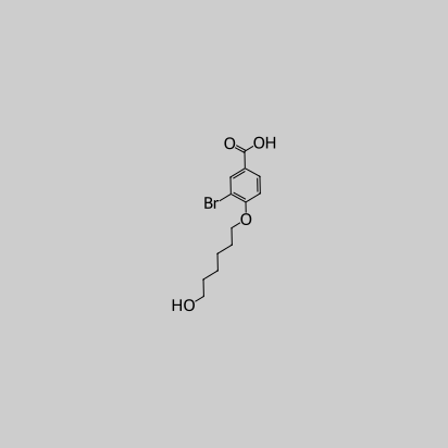 O=C(O)c1ccc(OCCCCCCO)c(Br)c1